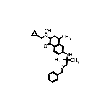 CC1CC(N(C)CC2CC2)C(=O)c2ccc(NC(C)(C)COCc3ccccc3)cc21